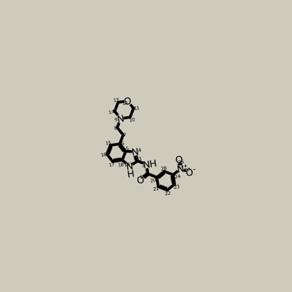 O=C(Nc1nc2c(CCN3CCOCC3)cccc2[nH]1)c1cccc([N+](=O)[O-])c1